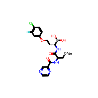 COCC(NC(=O)c1cnccn1)C(=O)N[C@H](CCOc1ccc(Cl)c(F)c1)B(O)O